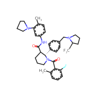 Cc1ccc(NC(=O)C2CCCN(C(=O)c3c(C)cccc3F)[C@H]2c2ccc(CN3CCCC3C(F)(F)F)cc2)cc1N1CCCC1